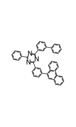 c1ccc(-c2cccc(-c3nc(-c4ccccc4)nc(-c4cccc(-c5cc6ccccc6c6ccccc56)c4)n3)c2)cc1